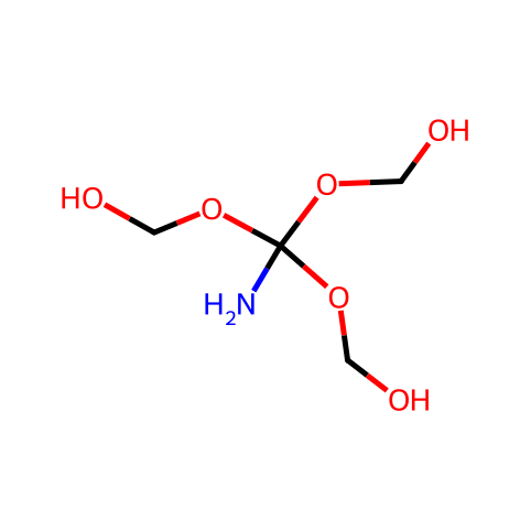 NC(OCO)(OCO)OCO